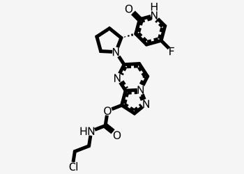 O=C(NCCCl)Oc1cnn2ccc(N3CCC[C@@H]3c3cc(F)c[nH]c3=O)nc12